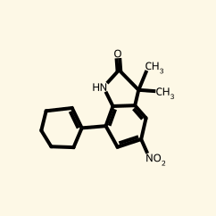 CC1(C)C(=O)Nc2c(C3=CCCCC3)cc([N+](=O)[O-])cc21